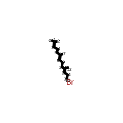 CC(C)=CCC/C(C)=C/CC/C(C)=C/CCBr